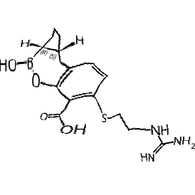 N=C(N)NCCSc1ccc2c(c1C(=O)O)OB(O)[C@@H]1C[C@H]21